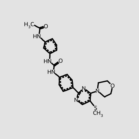 CSc1cnc(-c2ccc(NC(=O)Nc3cccc(NC(C)=O)c3)cc2)nc1N1CCOCC1